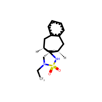 O=S1(=O)N[C@@]2(CN1CC(F)(F)F)[C@@H]1CC[C@H]2Cc2ccccc2C1